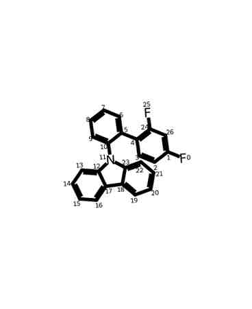 Fc1ccc(-c2ccccc2-n2c3ccccc3c3ccccc32)c(F)c1